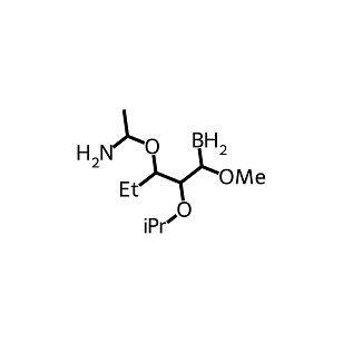 BC(OC)C(OC(C)C)C(CC)OC(C)N